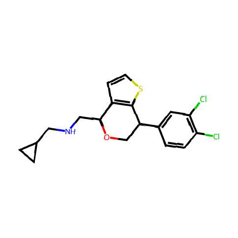 Clc1ccc(C2COC(CNCC3CC3)c3ccsc32)cc1Cl